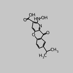 CC(C)c1ccc2oc3cc(C(=O)O)c(NO)nc3c(=O)c2c1